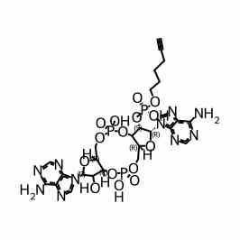 C#CCCCCOP(=O)(O)O[C@H]1C2OP(=O)(O)OC[C@H]3O[C@@H](n4cnc5c(N)ncnc54)C(O)[C@H]3OP(=O)(O)OC[C@H]2O[C@H]1n1cnc2c(N)ncnc21